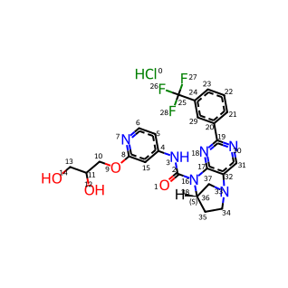 Cl.O=C(Nc1ccnc(OCC(O)CO)c1)N1c2nc(-c3cccc(C(F)(F)F)c3)ncc2N2CC[C@H]1C2